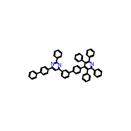 c1ccc(-c2ccc(-c3cc(-c4cccc(-c5ccc(-c6c(-c7ccccc7)c(-c7ccccc7)nc(-c7ccccc7)c6-c6ccccc6)cc5)c4)nc(-c4ccccc4)n3)cc2)cc1